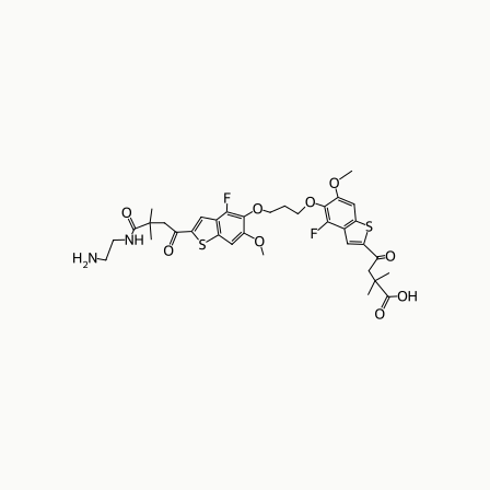 COc1cc2sc(C(=O)CC(C)(C)C(=O)O)cc2c(F)c1OCCCOc1c(OC)cc2sc(C(=O)CC(C)(C)C(=O)NCCN)cc2c1F